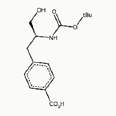 CC(C)(C)OC(=O)N[C@H](CO)Cc1ccc(C(=O)O)cc1